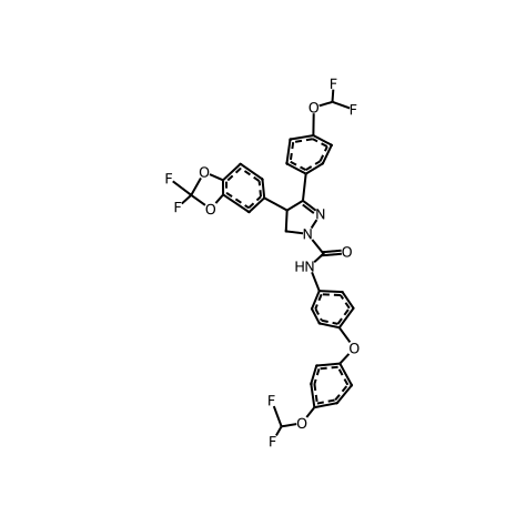 O=C(Nc1ccc(Oc2ccc(OC(F)F)cc2)cc1)N1CC(c2ccc3c(c2)OC(F)(F)O3)C(c2ccc(OC(F)F)cc2)=N1